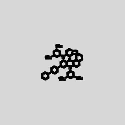 CC(C)(C)c1cc(N2c3cc(-c4ccc(-c5ccccc5)cc4)cc4c3B(c3c2ccc2ccccc32)c2c(ccc3ccccc23)N4c2cc(C(C)(C)C)cc(C(C)(C)C)c2)cc(C(C)(C)C)c1